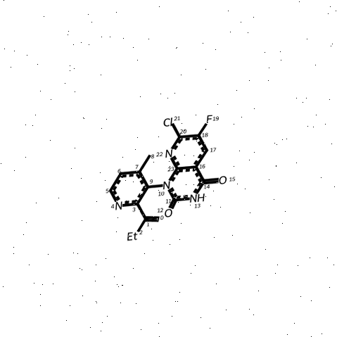 C=C(CC)c1nccc(C)c1-n1c(=O)[nH]c(=O)c2cc(F)c(Cl)nc21